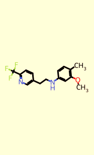 COc1cc(NCCc2ccc(C(F)(F)F)nc2)ccc1C